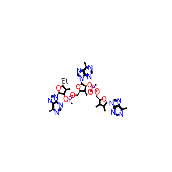 CC[C@H]1O[C@@H](n2cnc3c(C)ncnc32)C(OP(C)OC[C@H]2O[C@@H](n3cnc4c(C)ncnc43)C(OP(C)(=O)OC[C@H]3O[C@@H](n4cnc5c(C)ncnc54)C(C)C3C)C2C)C1C